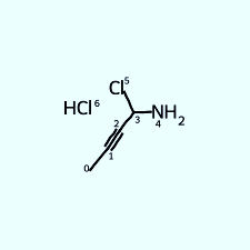 CC#CC(N)Cl.Cl